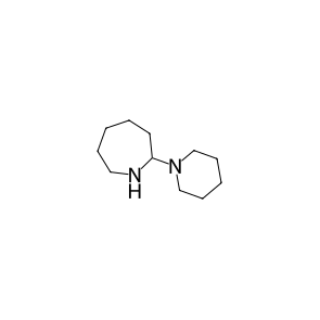 C1CCNC(N2CCCCC2)CC1